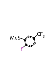 CSc1cc(C(F)(F)F)ccc1I